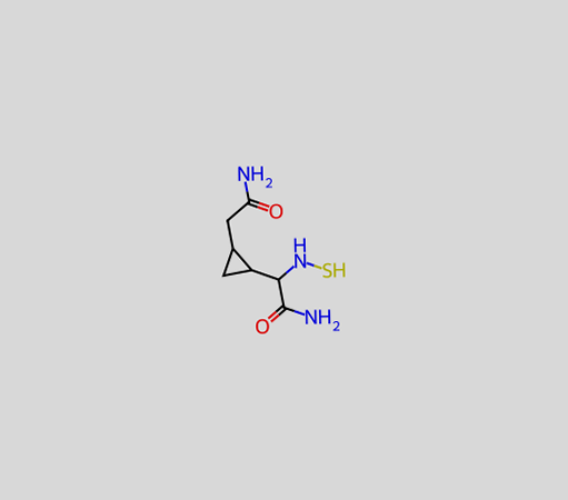 NC(=O)CC1CC1C(NS)C(N)=O